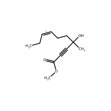 CC/C=C\CCC(C)(O)C#CC(=O)OC